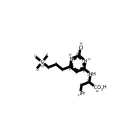 CC(C)CC(Nc1cc(CCC[Si](C)(C)C)nc(Cl)n1)C(=O)O